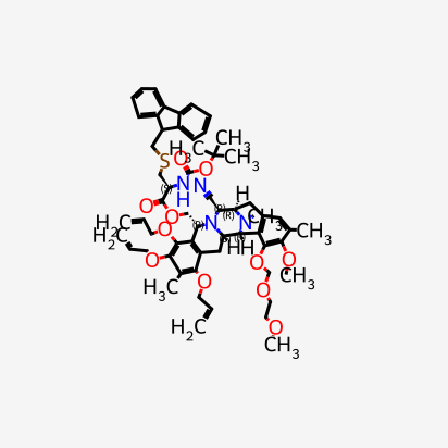 C=CCOc1c(C)c(OCC=C)c(OCC=C)c2c1C[C@H]1[C@H]3c4c(cc(C)c(OC)c4OCOCCOC)C[C@H]([C@H](C#N)N1[C@H]2COC(=O)[C@@H](CSCC1c2ccccc2-c2ccccc21)NC(=O)OC(C)(C)C)N3C